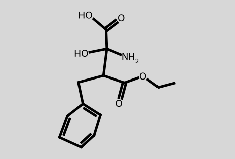 CCOC(=O)C(Cc1ccccc1)C(N)(O)C(=O)O